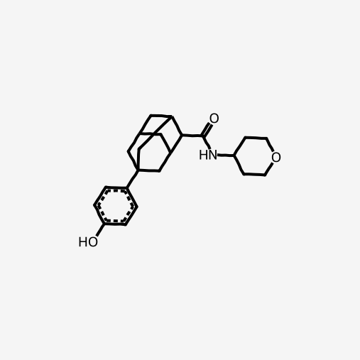 O=C(NC1CCOCC1)C1C2CC3CC1CC(c1ccc(O)cc1)(C3)C2